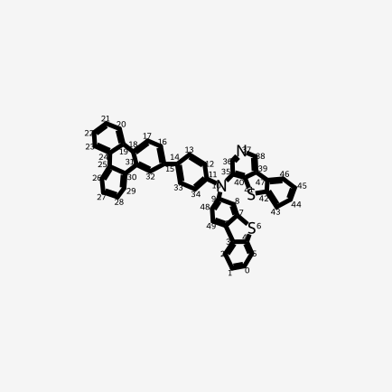 c1ccc2c(c1)sc1cc(N(c3ccc(-c4ccc5c6ccccc6c6ccccc6c5c4)cc3)c3cncc4c3sc3ccccc34)ccc12